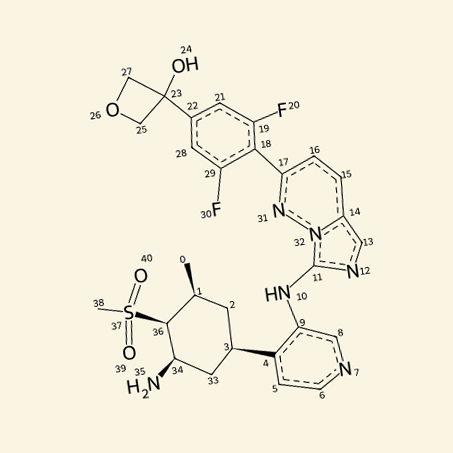 C[C@H]1C[C@@H](c2ccncc2Nc2ncc3ccc(-c4c(F)cc(C5(O)COC5)cc4F)nn23)C[C@@H](N)[C@H]1S(C)(=O)=O